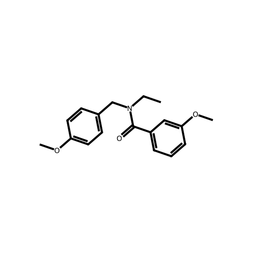 CCN(Cc1ccc(OC)cc1)C(=O)c1cccc(OC)c1